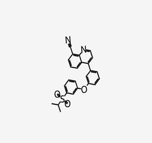 CC(C)S(=O)(=O)c1cccc(Oc2cccc(-c3ccnc4c(C#N)cccc34)c2)c1